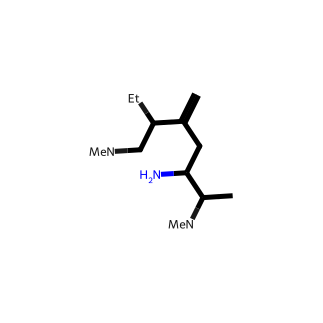 C=C(CC(N)C(C)NC)C(CC)CNC